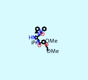 COCCCOc1cc(C(=O)N(CC2CNCC2CN(C(=O)N(c2ccccc2)c2ccccc2)C2CC2)C(C)C)ccc1OC